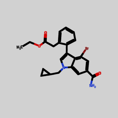 CCOC(=O)Cc1ccccc1-c1cn(CC2CC2)c2cc(C(N)=O)cc(Br)c12